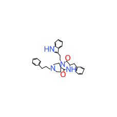 O=C1C(Cc2ccccc2)NC(=O)C2(CCN(CCCc3ccccc3)CC2)N1CCc1c[nH]c2ccccc12